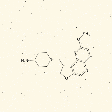 COc1ccc2ncc3c(c2n1)C(CN1CCC(N)CC1)CO3